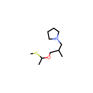 CSC(C)OCC(C)CN1CCCC1